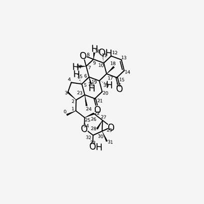 C[C@@H]([C@H]1CC[C@H]2[C@@H]3[C@@H]4O[C@@H]4[C@@]4(O)CC=CC(=O)[C@]4(C)[C@H]3CC(=O)[C@]12C)[C@H]1C[C@]2(C)O[C@]2(C)C(O)O1